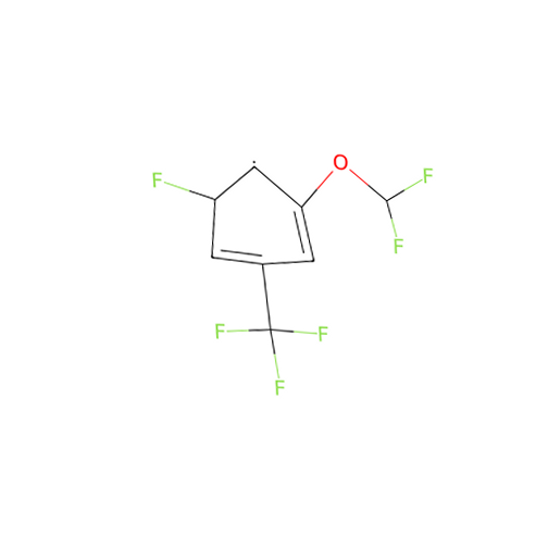 FC1[CH]C(OC(F)F)=CC(C(F)(F)F)=C1